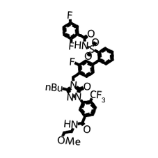 CCCCc1nn(-c2cc(C(=O)NCCOC)ccc2C(F)(F)F)c(=O)n1Cc1ccc(-c2ccccc2S(=O)(=O)NC(=O)c2cc(F)ccc2F)cc1F